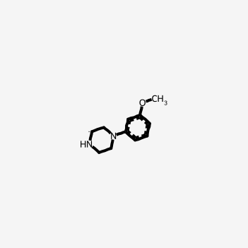 COc1cccc(N2C[CH]NCC2)c1